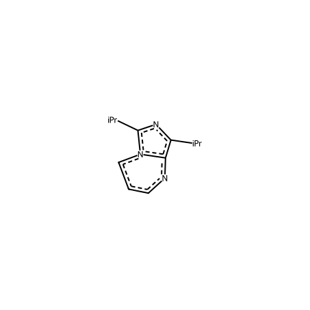 CC(C)c1nc(C(C)C)n2cccnc12